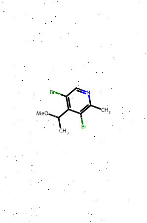 COC(C)c1c(Br)cnc(C)c1Br